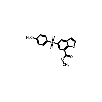 COC(=O)c1cc(S(=O)(=O)c2ccc(C)cc2)cc2ccoc12